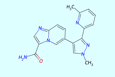 Cc1cccc(-c2nn(C)cc2-c2ccc3ncc(C(N)=O)n3c2)n1